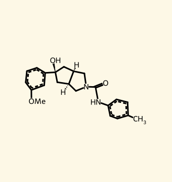 COc1cccc([C@]2(O)C[C@H]3CN(C(=O)Nc4ccc(C)cc4)C[C@H]3C2)c1